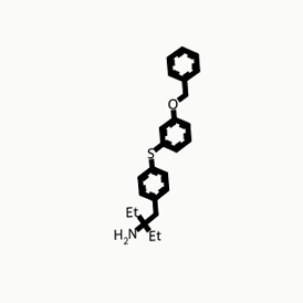 CCC(N)(CC)Cc1ccc(Sc2cccc(OCc3ccccc3)c2)cc1